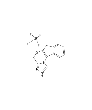 F[B-](F)(F)F.c1ccc2c(c1)CC1=C2n2c[nH+]nc2CO1